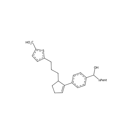 CCCCCC(O)c1ccc(C2=CCCC2CCCc2ccc(C(=O)O)s2)cc1